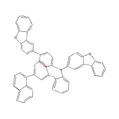 c1cc(-c2ccccc2N(c2ccc(-c3ccc4oc5ccccc5c4c3)cc2)c2ccc3oc4ccccc4c3c2)cc(-c2cccc3ccccc23)c1